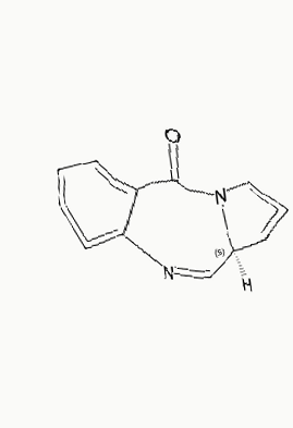 O=C1C2=CC=C=C=C2N=C[C@@H]2C=C=CN12